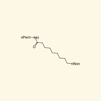 CCCCCCCCCCCCCCCCCC(=O)NCCCCC